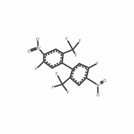 O=[N+]([O-])c1cc(C(F)(F)F)c(-c2cc(F)c([N+](=O)[O-])cc2C(F)(F)F)cc1F